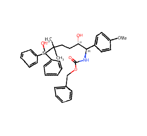 COc1ccc([C@@H](NC(=O)OCc2ccccc2)[C@@H](O)CCC(C)(C)[Si](O)(c2ccccc2)c2ccccc2)cc1